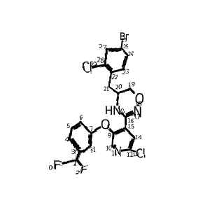 FC(F)c1cccc(Oc2cnc(Cl)cc2C2=NOCC(Cc3ccc(Br)cc3Cl)N2)c1